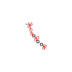 CCC(C)C(=O)OCCOCCOc1ccc(C(=O)Oc2ccc(-c3ccc(C(=O)OC)cc3)cc2)cc1